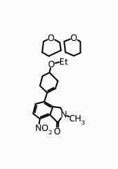 C1CCOCC1.C1CCOCC1.CCOC1CC=C(c2ccc([N+](=O)[O-])c3c2CN(C)C3=O)CC1